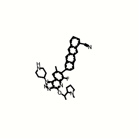 Cc1cc2c(nc(OC(C)C3CCCN3C)c3nnn(C4CCNCC4)c32)c(F)c1-c1ccc2cc3cc4c(C#N)cccc4cc3cc2c1